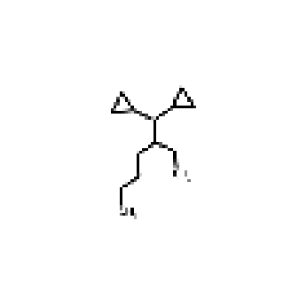 CCCCC(CC)[C](C1CC1)C1CC1